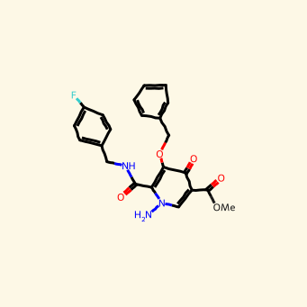 COC(=O)c1cn(N)c(C(=O)NCc2ccc(F)cc2)c(OCc2ccccc2)c1=O